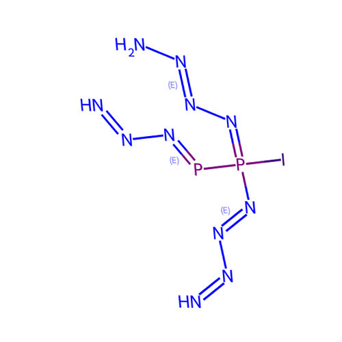 N=N/N=N/P(I)(=N/N=N/N)/P=N/N=N